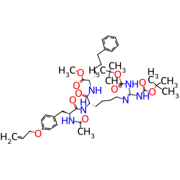 C=CCOc1ccc(C[C@H](NC(C)=O)C(=O)N[C@@H](CCCCN=C(NC(=O)OC(C)(C)C)NC(=O)OC(C)(C)C)C(=O)N[C@@H](CCCCc2ccccc2)C(=O)OC)cc1